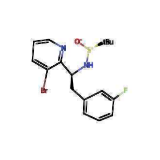 CC(C)(C)[S@+]([O-])N[C@@H](Cc1cccc(F)c1)c1ncccc1Br